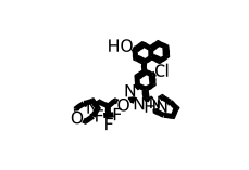 Oc1cc(-c2cc3nc(OCC(CN4C5CCC4COC5)C(F)(F)F)nc(N4CC5CCC(C4)N5)c3cc2Cl)c2ccccc2c1